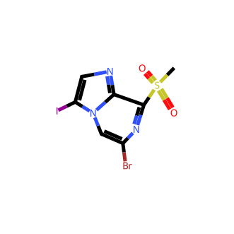 CS(=O)(=O)c1nc(Br)cn2c(I)cnc12